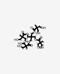 CC(CO)(CO)C(=O)OCC(COC(=O)C(C)(CO)CO)(COC(=O)C(C)(CO)CO)COC(=O)C(C)(CO)CO